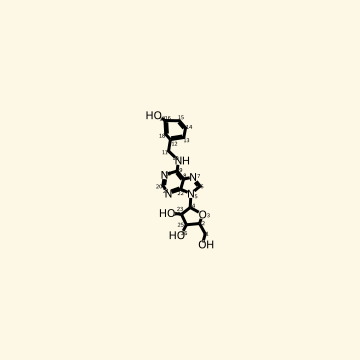 OCC1OC(n2cnc3c(NCc4cccc(O)c4)ncnc32)C(O)C1O